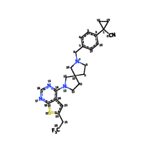 N#CC1(c2ccc(CN3CCC4(CCN(c5ncnc6sc(CC(F)(F)F)cc56)C4)C3)cc2)CC1